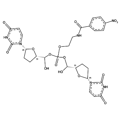 O=C(NCCOP(=O)(OC(O)[C@@H]1CC[C@H](n2ccc(=O)[nH]c2=O)O1)OC(O)[C@@H]1CC[C@H](n2ccc(=O)[nH]c2=O)O1)c1ccc([N+](=O)[O-])cc1